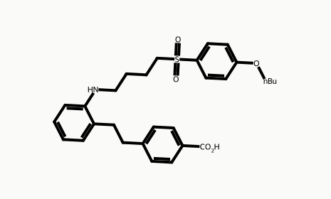 CCCCOc1ccc(S(=O)(=O)CCCCNc2ccccc2CCc2ccc(C(=O)O)cc2)cc1